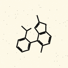 CC1=Cc2c(ccc(C)c2-c2ccccc2C(C)C)[CH]1